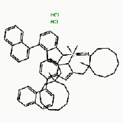 CC1(CC2=Cc3c(-c4cccc5ccccc45)cccc3[CH]2[Zr]([CH3])([CH3])(=[SiH2])[CH]2C(CC3(C)CCCCCCCC3)=Cc3c(-c4cccc5ccccc45)cccc32)CCCCCCCC1.Cl.Cl